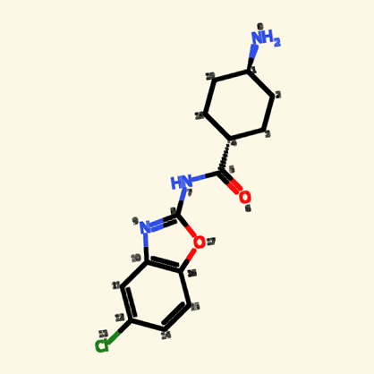 N[C@H]1CC[C@H](C(=O)Nc2nc3cc(Cl)ccc3o2)CC1